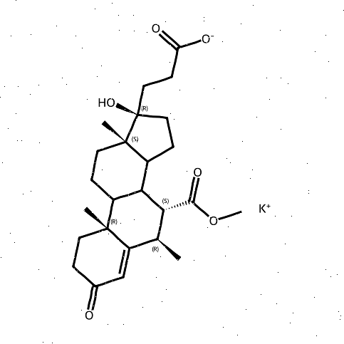 COC(=O)[C@H]1C2C(CC[C@@]3(C)C2CC[C@@]3(O)CCC(=O)[O-])[C@@]2(C)CCC(=O)C=C2[C@@H]1C.[K+]